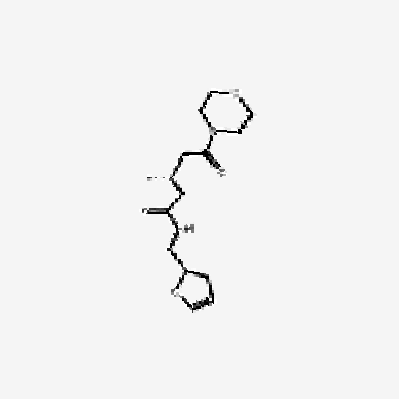 C[C@@H](CC(=O)NCC1CC=CO1)CC(=O)N1CCOCC1